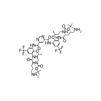 C[C@@H](CCNC(=O)OC(C)(C)C)Oc1c(NC(=O)CCCCN)cc(C(F)(F)F)cc1NC(=O)c1cc(C(=O)Nc2cc(C(F)(F)F)cc(NC(=O)CCCCN)c2O[C@@H](C)CCNC(=O)OC(C)(C)C)ncn1